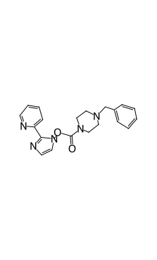 O=C(On1ccnc1-c1ccccn1)N1CCN(Cc2ccccc2)CC1